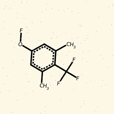 Cc1cc(OF)cc(C)c1C(F)(F)F